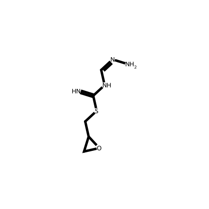 N=C(N/C=N\N)SCC1CO1